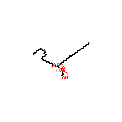 CCCCC/C=C\C/C=C\C/C=C\C/C=C\CCCCCC(=O)OC[C@H](COP(=O)(O)OC[C@@H](O)CO)OC(=O)CCCCCCCCCCCCCCCCCCCCC